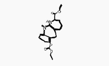 CCOC(=O)Oc1cccc2c1CC1=C(NC(C(=O)OCC)CCC1)N2C